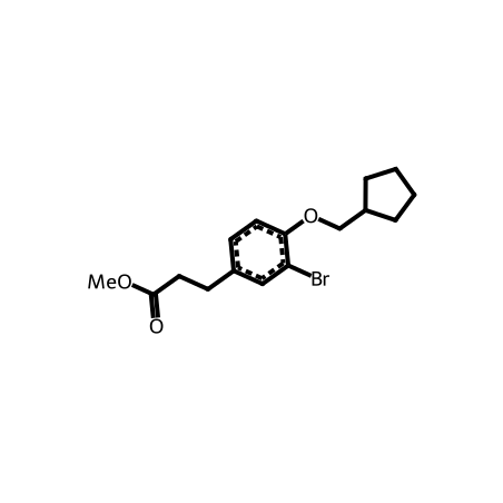 COC(=O)CCc1ccc(OCC2CCCC2)c(Br)c1